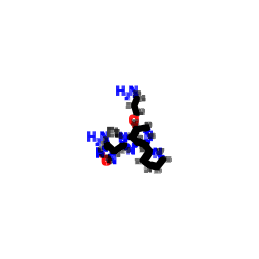 CCn1c(-c2nonc2N)nc2c(-c3ccccn3)ncc(OCCCN)c21